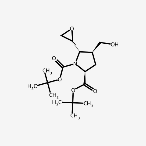 CC(C)(C)OC(=O)[C@@H]1C[C@H](CO)[C@@H](C2CO2)N1C(=O)OC(C)(C)C